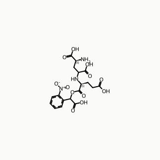 N[C@@H](CC(N[C@@H](CCC(=O)O)C(=O)OC(C(=O)O)c1ccccc1[N+](=O)[O-])C(=O)O)C(=O)O